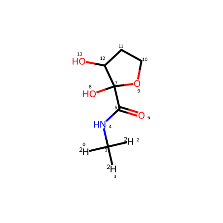 [2H]C([2H])([2H])NC(=O)C1(O)OCCC1O